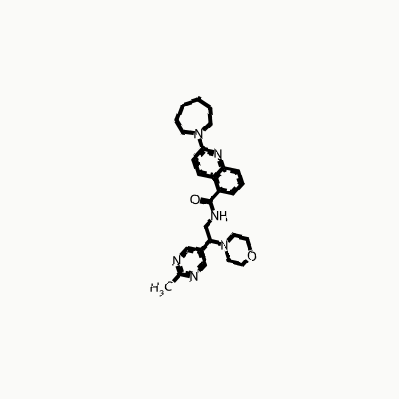 Cc1ncc(C(CNC(=O)c2cccc3nc(N4CCCCCC4)ccc23)N2CCOCC2)cn1